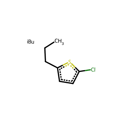 CC[C@H](C)C(C)Cc1ccc(Cl)s1